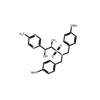 COc1ccc(CN(Cc2ccc(OC)cc2)S(=O)(=O)[C@H](C)[C@@H](O)c2cnc(C)cn2)cc1